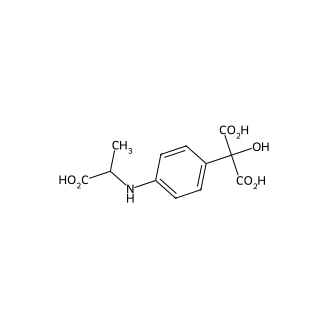 CC(Nc1ccc(C(O)(C(=O)O)C(=O)O)cc1)C(=O)O